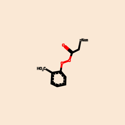 CCCCCCCCCCC(=O)OOc1ccccc1C(=O)O